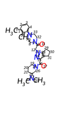 Cc1cccc(N2CCN(C(=O)Cn3nc(C(=O)N4CCCC(N(C)C)C4)c4c3CCC4)CC2)c1C